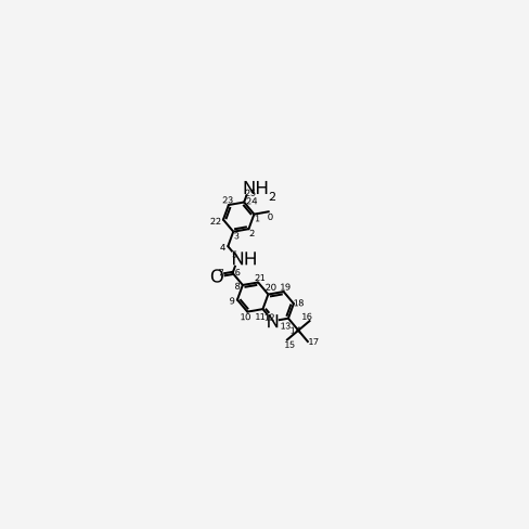 Cc1cc(CNC(=O)c2ccc3nc(C(C)(C)C)ccc3c2)ccc1N